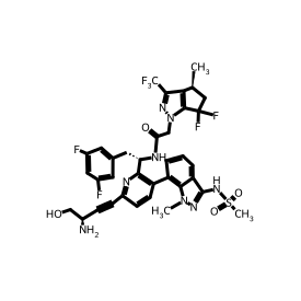 C[C@H]1CC(F)(F)c2c1c(C(F)(F)F)nn2CC(=O)N[C@@H](Cc1cc(F)cc(F)c1)c1nc(C#C[C@@H](N)CO)ccc1-c1cccc2c(NS(C)(=O)=O)nn(C)c12